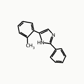 Cc1cc[c]cc1-c1cnc(-c2ccccc2)[nH]1